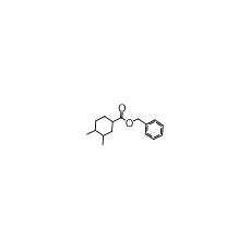 CC1CCC(C(=O)OCc2ccccc2)CC1C